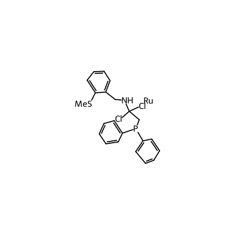 CSc1ccccc1CNC(Cl)(Cl)CP(c1ccccc1)c1ccccc1.[Ru]